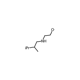 CC(C)C(C)CNCC[O]